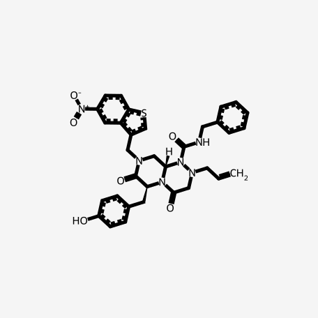 C=CCN1CC(=O)N2[C@@H](Cc3ccc(O)cc3)C(=O)N(Cc3csc4ccc([N+](=O)[O-])cc34)C[C@@H]2N1C(=O)NCc1ccccc1